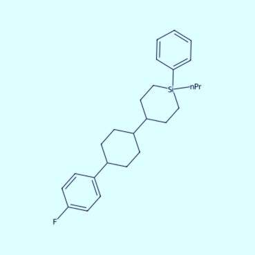 CCC[Si]1(c2ccccc2)CCC(C2CCC(c3ccc(F)cc3)CC2)CC1